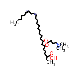 CCCCC/C=C\C/C=C\CCCCCCCCCC(CCCCCC(CC)C(=O)O)OC(=O)CCCN(C)C